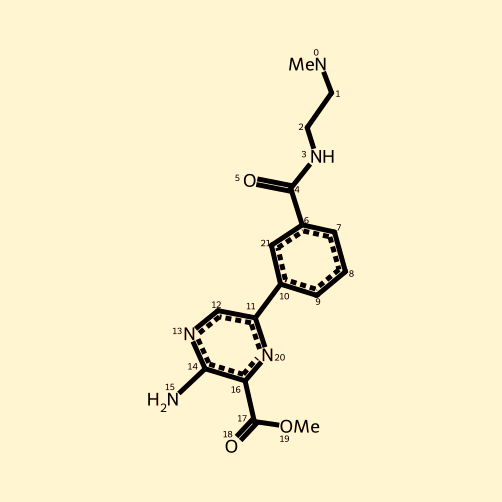 CNCCNC(=O)c1cccc(-c2cnc(N)c(C(=O)OC)n2)c1